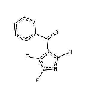 O=C(c1ccccc1)n1c(Cl)nc(F)c1F